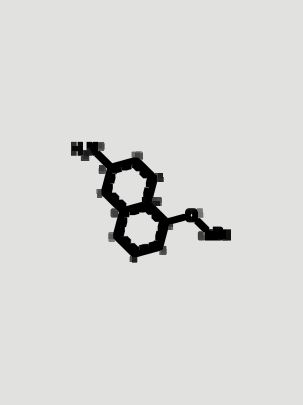 CCCCOc1cccc2cc(N)ccc12